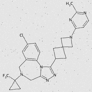 Cc1nccc(N2CC3(CC(c4nnc5n4-c4ccc(Cl)cc4CN(C4(C(F)(F)F)CC4)C5)C3)C2)n1